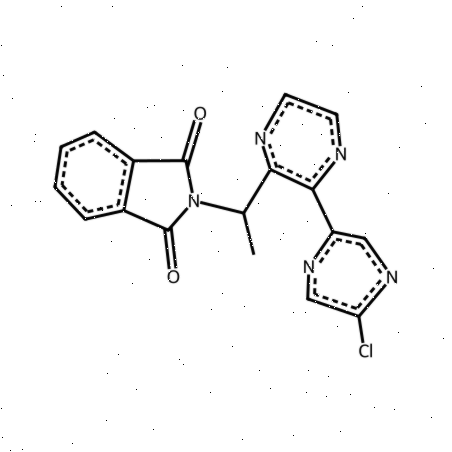 CC(c1nccnc1-c1cnc(Cl)cn1)N1C(=O)c2ccccc2C1=O